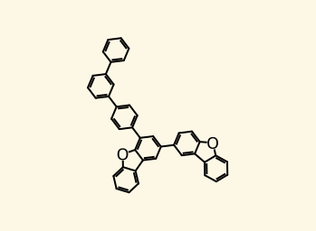 c1ccc(-c2cccc(-c3ccc(-c4cc(-c5ccc6oc7ccccc7c6c5)cc5c4oc4ccccc45)cc3)c2)cc1